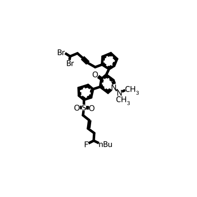 CCCCC(F)C/C=C/CS(=O)(=O)c1cccc(-c2cn(N(C)C)cc(-c3ccccc3CC#CCC(Br)Br)c2=O)c1